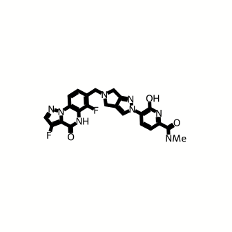 CNC(=O)c1ccc(-n2cc3c(n2)CN(Cc2ccc4c([nH]c(=O)c5c(F)cnn54)c2F)C3)c(O)n1